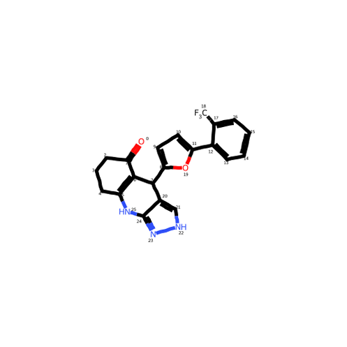 O=C1CCCC2=C1C(c1ccc(-c3ccccc3C(F)(F)F)o1)c1c[nH]nc1N2